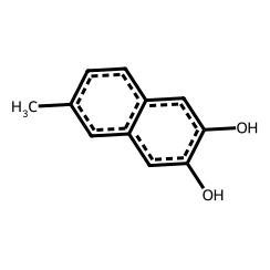 Cc1ccc2cc(O)c(O)cc2c1